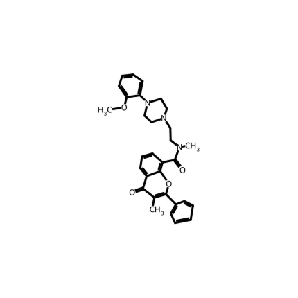 COc1ccccc1N1CCN(CCN(C)C(=O)c2cccc3c(=O)c(C)c(-c4ccccc4)oc23)CC1